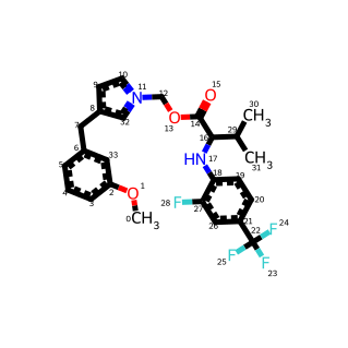 COc1cccc(Cc2ccn(COC(=O)C(Nc3ccc(C(F)(F)F)cc3F)C(C)C)c2)c1